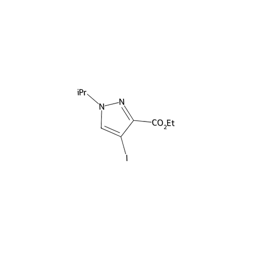 CCOC(=O)c1nn(C(C)C)cc1I